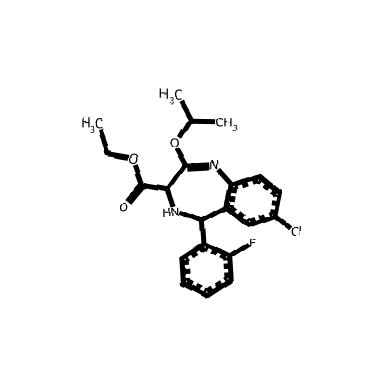 CCOC(=O)C1NC(c2ccccc2F)c2cc(Cl)ccc2N=C1OC(C)C